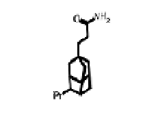 CC(C)C1C2CC3CC1CC(CCC(N)=O)(C3)C2